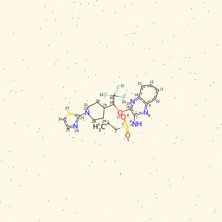 CCCS(=O)(=O)Nc1nc2ccccc2nc1OC(C1CCN(c2nccs2)CC1)C(F)(F)F